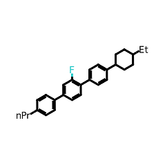 CCCc1ccc(-c2ccc(-c3ccc(C4CCC(CC)CC4)cc3)c(F)c2)cc1